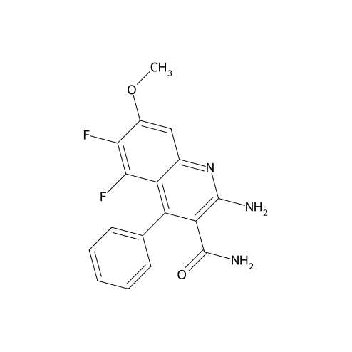 COc1cc2nc(N)c(C(N)=O)c(-c3ccccc3)c2c(F)c1F